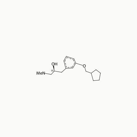 CNC[C@@H](O)Cc1cccc(OCC2CCCC2)c1